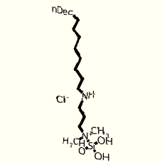 CCCCCCCCCCCCCCCCCCNCCC[N+](C)(C)[Si](O)(O)O.[Cl-]